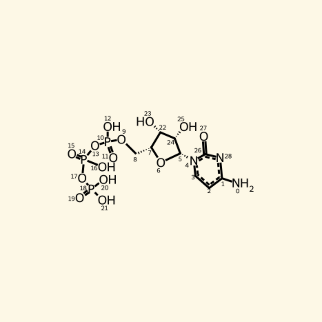 Nc1ccn([C@@H]2O[C@H](COP(=O)(O)OP(=O)(O)OP(=O)(O)O)[C@H](O)[C@@H]2O)c(=O)n1